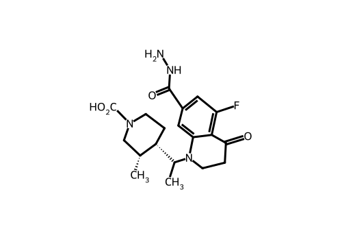 CC([C@H]1CCN(C(=O)O)C[C@H]1C)N1CCC(=O)c2c(F)cc(C(=O)NN)cc21